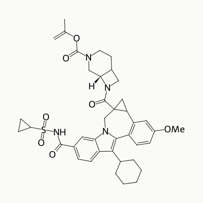 C=C(C)OC(=O)N1CCC2CN(C(=O)C34CC3c3cc(OC)ccc3-c3c(C5CCCCC5)c5ccc(C(=O)NS(=O)(=O)C6CC6)cc5n3C4)[C@@H]2C1